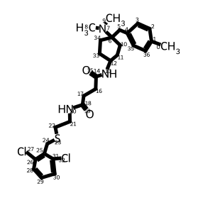 Cc1ccc(CC2(N(C)C)CCC(NC(=O)CCC(=O)NCCSCc3c(Cl)cccc3Cl)CC2)cc1